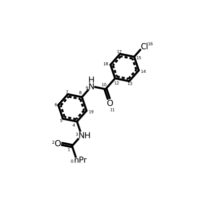 CCCC(=O)Nc1cccc(NC(=O)c2ccc(Cl)cc2)c1